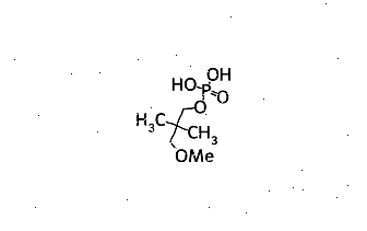 COCC(C)(C)COP(=O)(O)O